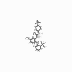 CC(C)(C)c1ccc(NC(=O)Nc2cc(Cl)cnc2Oc2ccccc2C(C)(C)C)cc1